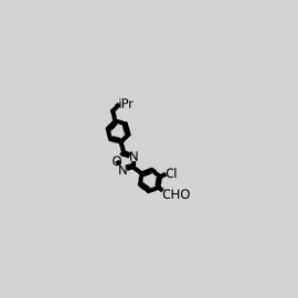 CC(C)Cc1ccc(-c2nc(-c3ccc(C=O)c(Cl)c3)no2)cc1